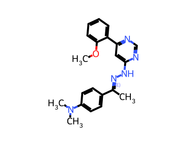 COc1ccccc1-c1cc(N/N=C(\C)c2ccc(N(C)C)cc2)ncn1